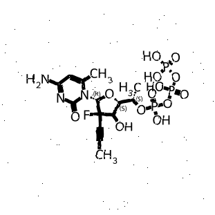 CC#CC1(F)C(O)[C@@H]([C@H](C)OP(=O)(O)OP(=O)(O)OP(=O)(O)O)O[C@H]1n1c(C)cc(N)nc1=O